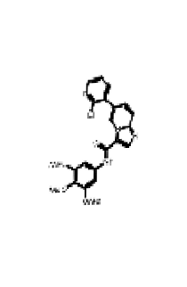 COc1cc(NC(=O)c2cnc3ccc(-c4cccnc4Cl)cn23)cc(OC)c1OC